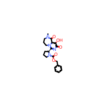 CN1CCCn2c([C@@H]3CCCN3C(=O)OCc3ccccc3)nc(=O)c(O)c2C1=O